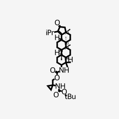 CC(C)C1=C2[C@H]3CC[C@@H]4[C@@]5(C)CCC(NC(=O)OCC6(NC(=O)OC(C)(C)C)CC6)C(C)(C)[C@@H]5CC[C@@]4(C)[C@]3(C)CC[C@@]2(C)CC1=O